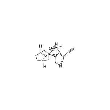 C#Cc1cncc([C@]2(C#N)C[C@H]3CC[C@@H](C2)N3C(=O)OC(C)(C)C)c1